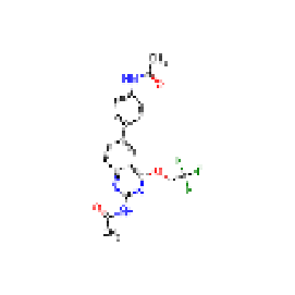 CC(=O)Nc1ccc(-c2ccc3nc(NC(C)=O)nc(OCC(F)(F)F)c3c2)cc1